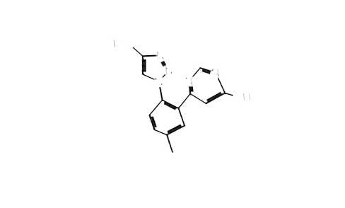 Cc1ccc(-n2cc(C(F)(F)F)nn2)c(-c2cc(O)ncn2)c1